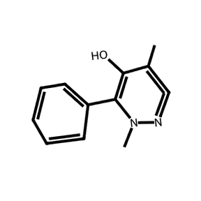 CC1=C=NN(C)C(c2ccccc2)=C1O